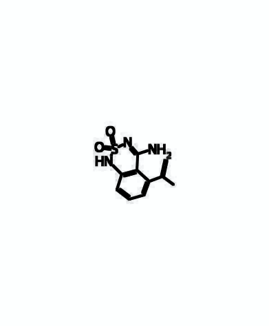 C=C(C)c1cccc2c1C(N)=NS(=O)(=O)N2